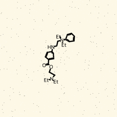 CCN(CC)CCOC(=O)c1ccc(NCC[N+](CC)(CC)c2ccccc2)cc1